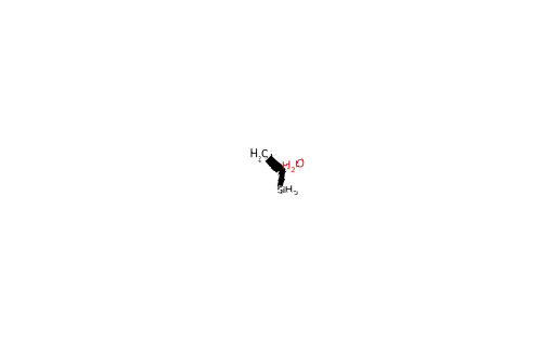 C=C[SiH3].O